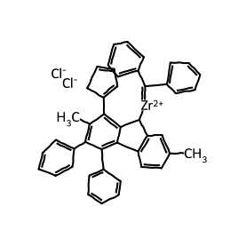 Cc1ccc2c(c1)[CH]([Zr+2]=[C](c1ccccc1)c1ccccc1)c1c(C3=CC=CC3)c(C)c(-c3ccccc3)c(-c3ccccc3)c1-2.[Cl-].[Cl-]